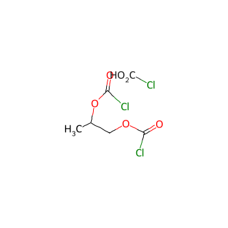 CC(COC(=O)Cl)OC(=O)Cl.O=C(O)Cl